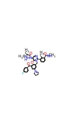 CNC(=O)c1cccc(-c2ncc(NC(=O)[C@H](C)NC)c(=O)n2Cc2cc(C(=O)c3ccc(F)cc3)cc(N3CCCC3)c2)c1C